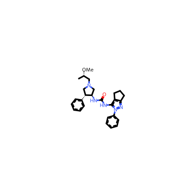 CO[C@@H](C)CN1C[C@@H](NC(=O)Nc2c3c(nn2-c2ccccc2)CCC3)[C@H](c2ccccc2)C1